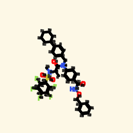 C[C@H](C(=O)N(Cc1ccc(C2CCCCC2)cc1)c1ccc(C(=O)NOCc2ccccc2)cc1)N(C)S(=O)(=O)c1c(F)c(F)c(F)c(F)c1F